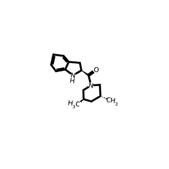 C[C@@H]1C[C@@H](C)CN(C(=O)[C@@H]2Cc3ccccc3N2)C1